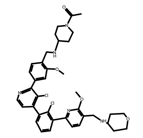 COc1cc(-c2nccc(-c3cccc(-c4ccc(CNC5CCOCC5)c(OC)n4)c3Cl)c2Cl)ccc1CNC1CCN(C(C)=O)CC1